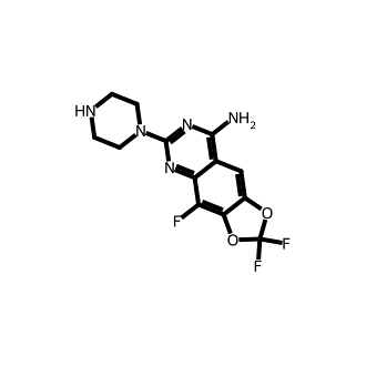 Nc1nc(N2CCNCC2)nc2c(F)c3c(cc12)OC(F)(F)O3